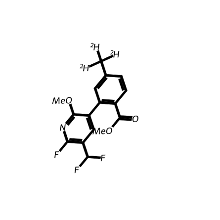 [2H]C([2H])([2H])c1ccc(C(=O)OC)c(-c2cc(C(F)F)c(F)nc2OC)c1